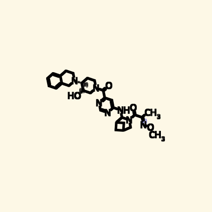 CO/N=C(\C)C(=O)N1CC2CC(C2)C1Nc1cc(C(=O)N2CC[C@@H](N3CCc4ccccc4C3)[C@H](O)C2)ncn1